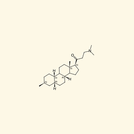 C[C@H]1CC[C@@H]2C3CC[C@@]4(C)C(CC[C@@H]4C(=O)CCN(C)C)[C@@H]3CC[C@@H]2C1